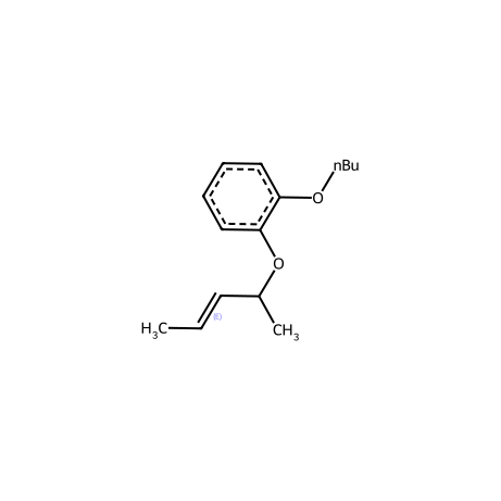 C/C=C/C(C)Oc1ccccc1OCCCC